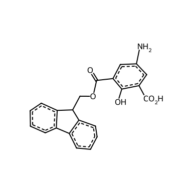 Nc1cc(C(=O)O)c(O)c(C(=O)OCC2c3ccccc3-c3ccccc32)c1